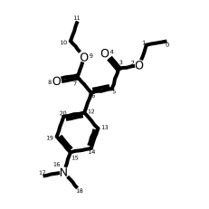 CCOC(=O)C=C(C(=O)OCC)c1ccc(N(C)C)cc1